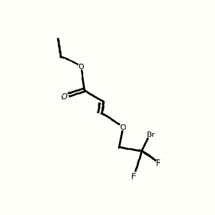 CCOC(=O)/C=C/OCC(F)(F)Br